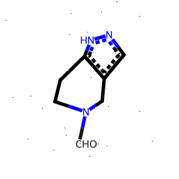 O=[C]N1CCc2[nH]ncc2C1